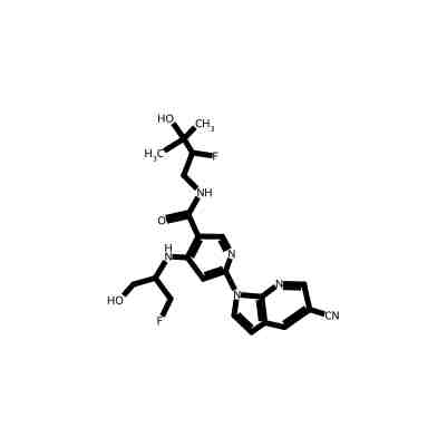 CC(C)(O)C(F)CNC(=O)c1cnc(-n2ccc3cc(C#N)cnc32)cc1NC(CO)CF